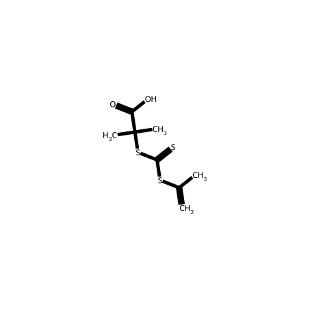 C=C(C)SC(=S)SC(C)(C)C(=O)O